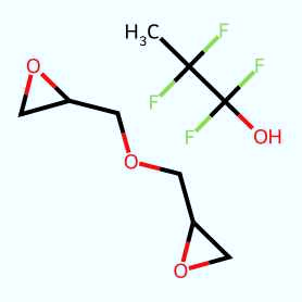 C(OCC1CO1)C1CO1.CC(F)(F)C(O)(F)F